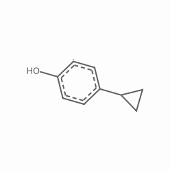 Oc1[c]cc(C2CC2)cc1